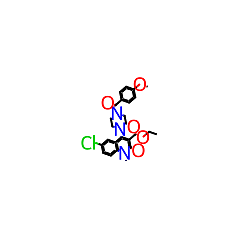 CCOC(=O)c1c(N2CCN(C(=O)c3ccc(OC)cc3)CC2)c2cc(Cl)ccc2n(C)c1=O